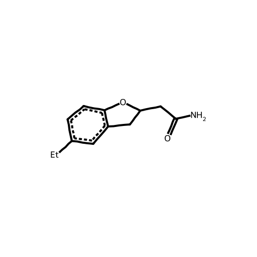 CCc1ccc2c(c1)CC(CC(N)=O)O2